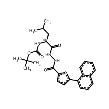 CC(C)C[C@H](NC(=O)OC(C)(C)C)C(=O)NNC(=O)c1ccc(-c2cccc3ccccc23)s1